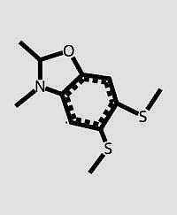 CSc1[c]c2c(cc1SC)OC(C)N2C